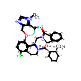 Cn1cnc(COc2ccc(Cl)c3c2[C@@H](CN2Cc4ccccc4C2=O)N(C(=O)[C@@H]2CCCC[C@@H]2C(=O)O)CC3)c1C(F)F